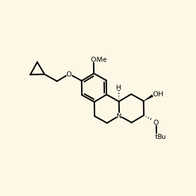 COc1cc2c(cc1OCC1CC1)CCN1C[C@@H](OC(C)(C)C)[C@H](O)C[C@H]21